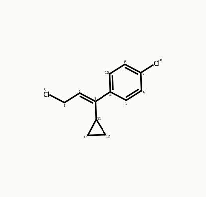 ClC/C=C(/c1ccc(Cl)cc1)C1CC1